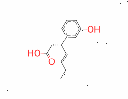 CCC=C[C@H](CC(=O)O)c1cccc(O)c1